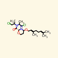 CC(C)=CCC/C(C)=C/COC1CCO[C@H](C(=O)N(C(C)CCl)C(C)CCl)N1